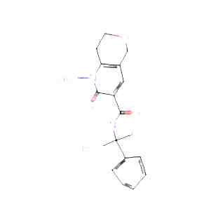 CCCCn1c2c(cc(C(=O)NC(C)(C)c3ccccc3)c1=O)COCC2